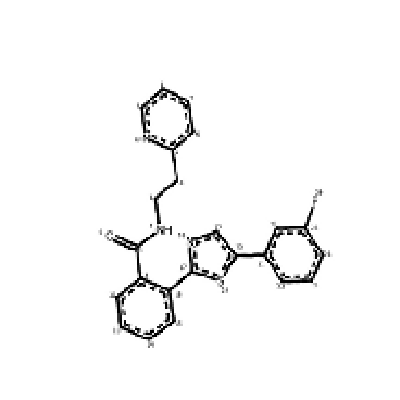 O=C(NCCc1ccccn1)c1ccccc1-c1ncc(-c2cccc(F)c2)s1